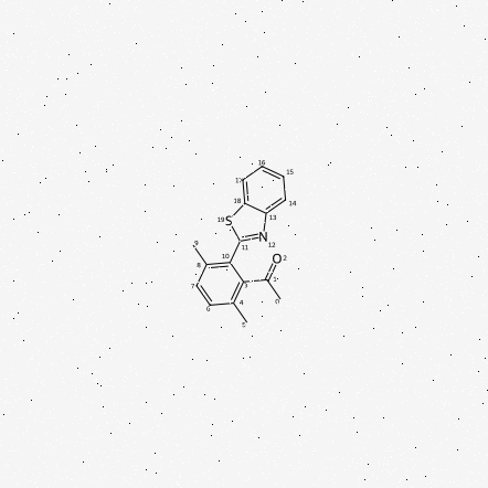 CC(=O)c1c(C)ccc(C)c1-c1nc2ccccc2s1